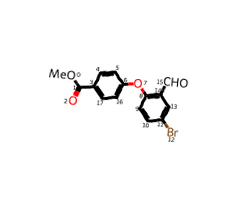 COC(=O)c1ccc(Oc2ccc(Br)cc2C=O)cc1